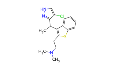 CC(c1n[nH]cc1Cl)c1c(CCN(C)C)sc2ccccc12